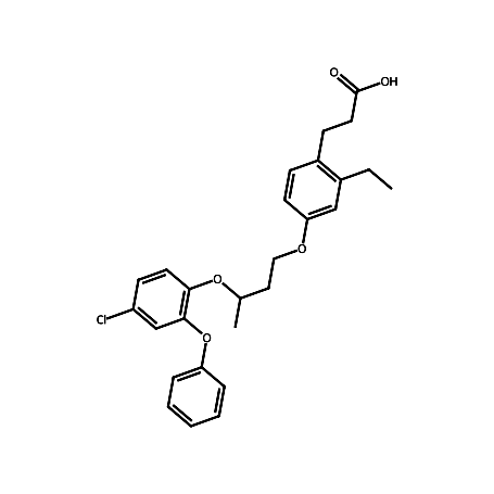 CCc1cc(OCCC(C)Oc2ccc(Cl)cc2Oc2ccccc2)ccc1CCC(=O)O